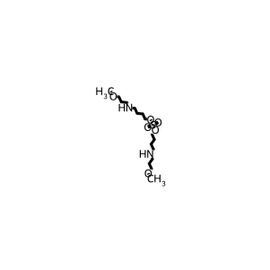 COCCCNCCCCOS(=O)(=O)OCCCCNCCCOC